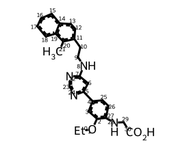 CCOc1cc(-c2cc(NCCc3ccc4ccccc4c3C)ncn2)ccc1NCC(=O)O